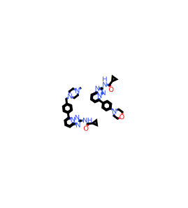 CN1CCN(Cc2ccc(-c3cccc4nc(NC(=O)C5CC5)nn34)cc2)CC1.O=C(Nc1nc2cccc(-c3ccc(N4CCOCC4)cc3)n2n1)C1CC1